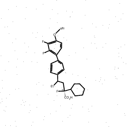 CCCOc1ccc(-c2ccc(C(CC)C[C@@](F)(C(=O)O)C3CCCCC3)cc2)c(F)c1F